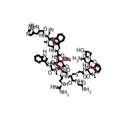 CCCC[C@@H](C(=O)N(C)[C@@H](CCCC)C(=O)N[C@@H](CCCNC(=N)N)C(=O)N[C@@H](CSCC(=O)N[C@@H](Cc1ccccc1)C(=O)N(C)[C@@H](C)C(=O)N[C@@H](CC(N)=O)C(=O)N1CC[C@@H](O)C1)C(=O)NCC(N)=O)N(C)C(=O)[C@H](Cc1c[nH]c2ccccc12)NC(=O)[C@H](CO)NC(=O)[C@H](Cc1c[nH]c2ccccc12)NC(O)CN(C)C(=O)[C@H](CC(C)C)NC(=O)[C@H](Cc1cnc[nH]1)NC